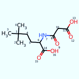 CC(C)(C)CCC(NC(=O)CC(=O)O)C(=O)O